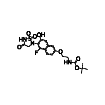 CC(C)(C)OC(=O)NCCOc1ccc2c(F)c(N3CC(=O)NS3(=O)=O)c(O)cc2c1